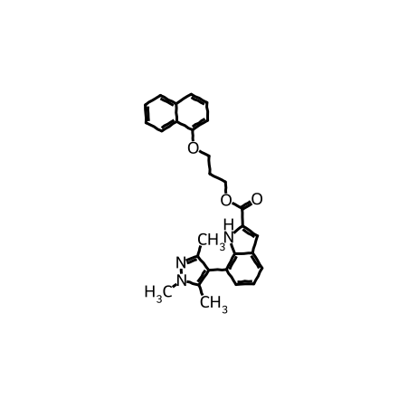 Cc1nn(C)c(C)c1-c1cccc2cc(C(=O)OCCCOc3cccc4ccccc34)[nH]c12